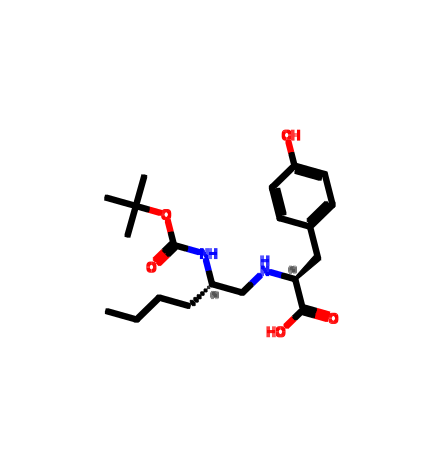 CCCC[C@@H](CN[C@@H](Cc1ccc(O)cc1)C(=O)O)NC(=O)OC(C)(C)C